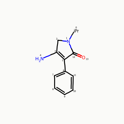 CC(C)N1CC(N)=C(c2ccccc2)C1=O